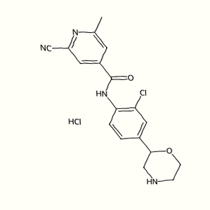 Cc1cc(C(=O)Nc2ccc(C3CNCCO3)cc2Cl)cc(C#N)n1.Cl